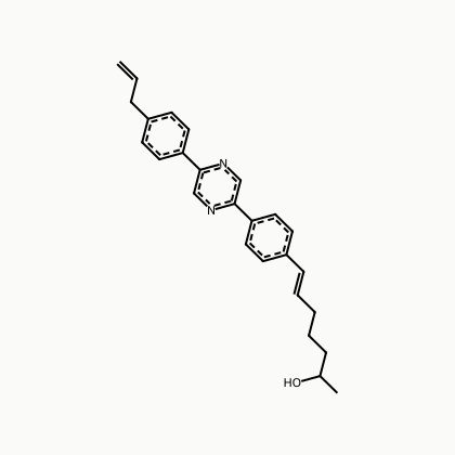 C=CCc1ccc(-c2cnc(-c3ccc(/C=C/CCCC(C)O)cc3)cn2)cc1